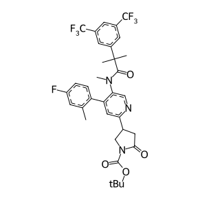 Cc1cc(F)ccc1-c1cc(C2CC(=O)N(C(=O)OC(C)(C)C)C2)ncc1N(C)C(=O)C(C)(C)c1cc(C(F)(F)F)cc(C(F)(F)F)c1